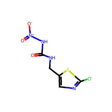 O=C(NCc1cnc(Cl)s1)N[N+](=O)[O-]